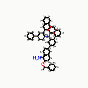 CC(Oc1ccc2cc(-c3ccc(-c4ccccc4)c(N(C4=C(c5ccc6ccccc6c5)C=C(c5ccccc5)CC4)c4ccccc4)c3)ccc2c1N)c1ccccc1